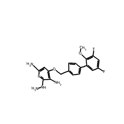 COc1c(F)cc(F)cc1-c1ccc(COc2cc(N)nc(NN)c2N)cc1